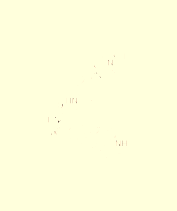 CN1CCN(c2ccc(NC=C3C(=O)NC(=O)c4ccc(-c5ccc6[nH]ccc6c5)cc43)cc2)CC1